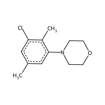 Cc1cc(Cl)c(C)c(N2CCOCC2)c1